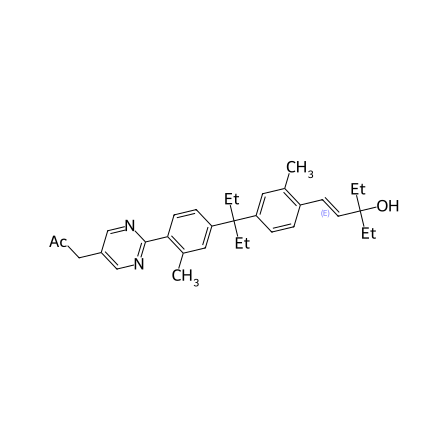 CCC(O)(/C=C/c1ccc(C(CC)(CC)c2ccc(-c3ncc(CC(C)=O)cn3)c(C)c2)cc1C)CC